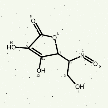 O=NC(CO)C1OC(=O)C(O)=C1O